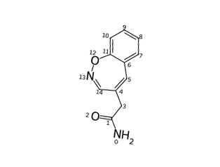 NC(=O)CC1=Cc2ccccc2ON=C1